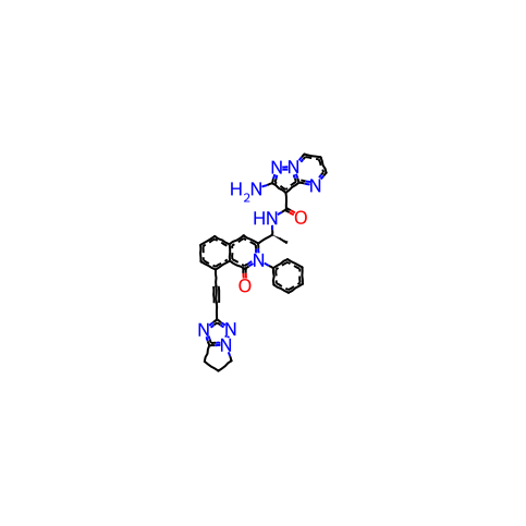 C[C@H](NC(=O)c1c(N)nn2cccnc12)c1cc2cccc(C#Cc3nc4n(n3)CCC4)c2c(=O)n1-c1ccccc1